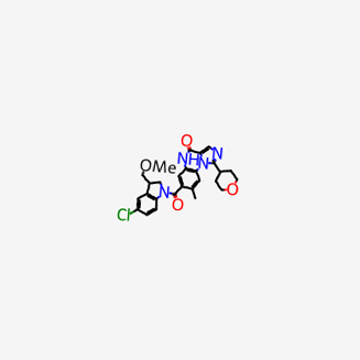 COCC1CN(C(=O)c2cc3[nH]c(=O)c4cnc(C5CCOCC5)n4c3cc2C)c2ccc(Cl)cc21